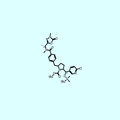 C[C@H](c1nn(C)c(=O)o1)N(C)C(=O)c1ccc(CC2CCC([C@H](O[Si](C)(C)C(C)(C)C)c3ccc(Cl)nc3)N2C(=O)OC(C)(C)C)cc1